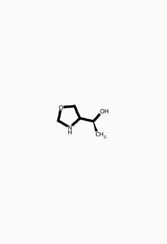 C[C@H](O)C1COCN1